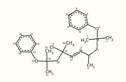 CC(CC(C)(C)Oc1ccccc1)/N=N/C(C)(Cl)CC(C)(C)Oc1ccccc1